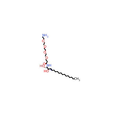 CCCCCCCCCCCCC/C=C/[C@@H](O)[C@H](CO)NC(=O)CCOCCOCCOCCOCCN